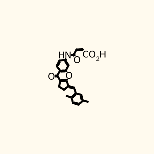 Cc1ccc(C)c(/C=C2\CCc3c2oc2cc(NC(=O)/C=C\C(=O)O)ccc2c3=O)c1